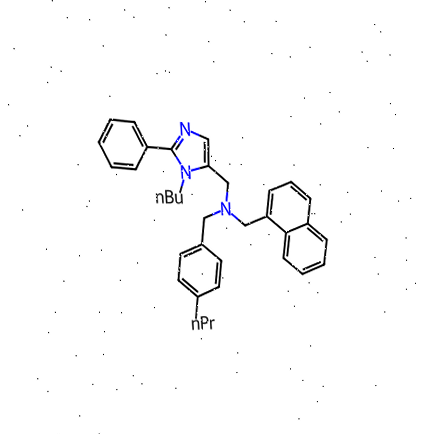 CCCCn1c(CN(Cc2ccc(CCC)cc2)Cc2cccc3ccccc23)cnc1-c1ccccc1